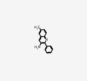 Cc1ccc2nc(-c3ccccc3)c(N)cc2c1